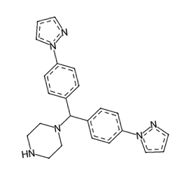 c1cnn(-c2ccc(C(c3ccc(-n4cccn4)cc3)N3CCNCC3)cc2)c1